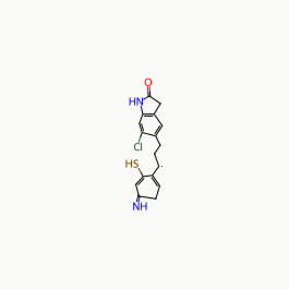 N=C1C=C(S)C([CH]CCc2cc3c(cc2Cl)NC(=O)C3)=CC1